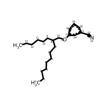 CCCCCCCCC(CCCCCC)COc1cccc(C#N)c1